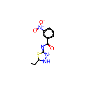 CCC1N[N]C(=NC(=O)c2cccc([N+](=O)[O-])c2)S1